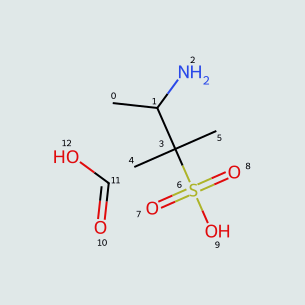 CC(N)C(C)(C)S(=O)(=O)O.O=CO